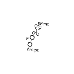 CCCCCCCc1ccc(-c2ccc(OC(=O)C3COC(CCCCC)OC3)cc2F)cc1